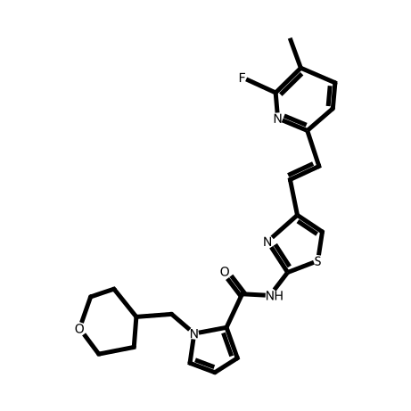 Cc1ccc(/C=C/c2csc(NC(=O)c3cccn3CC3CCOCC3)n2)nc1F